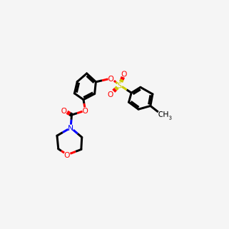 Cc1ccc(S(=O)(=O)Oc2cccc(OC(=O)N3CCOCC3)c2)cc1